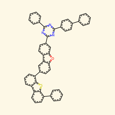 c1ccc(-c2ccc(-c3nc(-c4ccccc4)nc(-c4ccc5c(c4)oc4ccc(-c6cccc7c6sc6c(-c8ccccc8)cccc67)cc45)n3)cc2)cc1